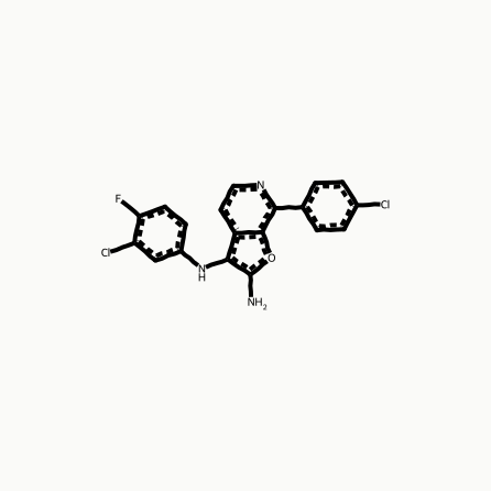 Nc1oc2c(-c3ccc(Cl)cc3)nccc2c1Nc1ccc(F)c(Cl)c1